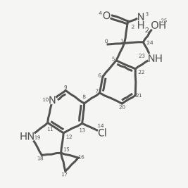 CC1(C(N)=O)c2cc(-c3cnc4c(c3Cl)C3(CC3)CN4)ccc2NC1O